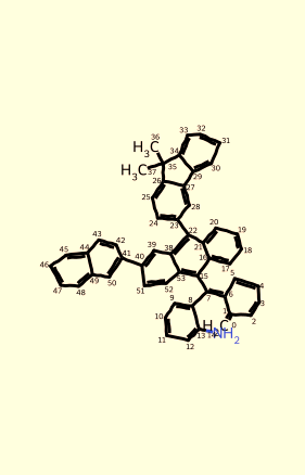 C=c1cccc/c1=C(/c1ccccc1N)c1c2ccccc2c(-c2ccc3c(c2)-c2ccccc2C3(C)C)c2cc(-c3ccc4ccccc4c3)ccc12